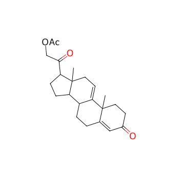 CC(=O)OCC(=O)C1CCC2C3CCC4=CC(=O)CCC4(C)C3=CCC12C